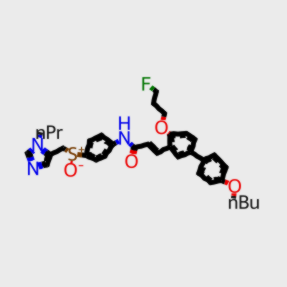 CCCCOc1ccc(-c2ccc(OCCCF)c(/C=C/C(=O)Nc3ccc([S@+]([O-])Cc4cncn4CCC)cc3)c2)cc1